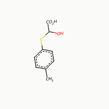 Cc1ccc(SC(O)C(=O)O)cc1